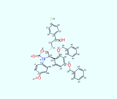 COc1ccc(N2C(=O)O[C@H](CC[C@H](O)c3ccc(F)cc3)[C@H]2c2ccc(OCc3ccccc3)cc2OCc2ccccc2)cc1